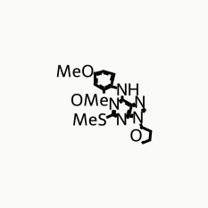 COc1ccc(Nc2nc(SC)nc3c2ncn3C2CCCO2)c(OC)c1